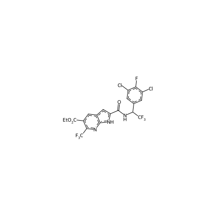 CCOC(=O)c1cc2cc(C(=O)NC(c3cc(Cl)c(F)c(Cl)c3)C(F)(F)F)[nH]c2nc1C(F)(F)F